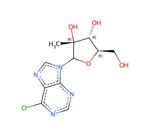 C[C@]1(O)C(n2cnc3c(Cl)ncnc32)O[C@H](CO)[C@H]1O